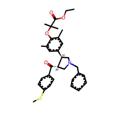 CCOC(=O)C(C)(C)Oc1c(C)cc([C@H]2CN(Cc3ccccc3)C[C@@H]2C(=O)c2ccc(SC)cc2)cc1C